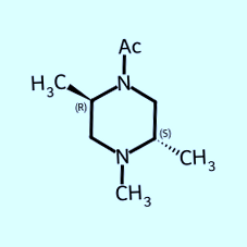 CC(=O)N1C[C@H](C)N(C)C[C@H]1C